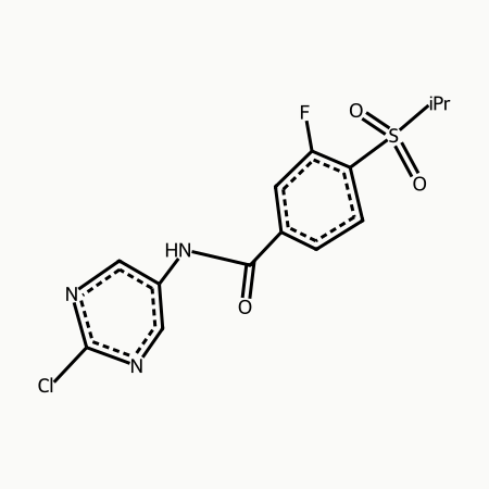 CC(C)S(=O)(=O)c1ccc(C(=O)Nc2cnc(Cl)nc2)cc1F